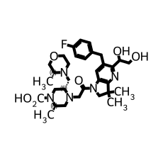 C[C@@H]1COCCN1C[C@H]1CN(C(=O)O)[C@H](C)CN1CC(=O)N1CC(C)(C)c2nc(C(O)CO)c(Cc3ccc(F)cc3)cc21